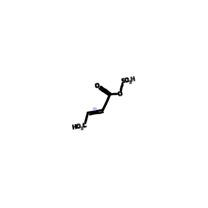 O=C(O)/C=C/C(=O)OS(=O)(=O)O